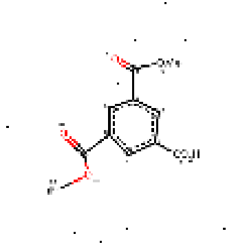 COC(=O)c1cc(C(=O)O)cc(C(=O)OC(C)C)c1